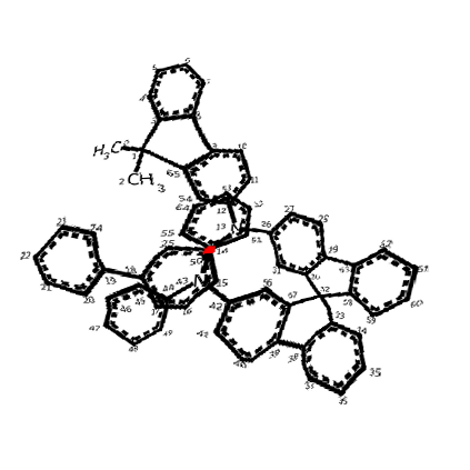 CC1(C)c2ccccc2-c2ccc(N(c3cccc(-c4ccccc4)c3)c3ccc4c(c3)C3(c5ccccc5-c5ccc(N(c6ccccc6)c6ccccc6)cc53)c3ccccc3-4)cc21